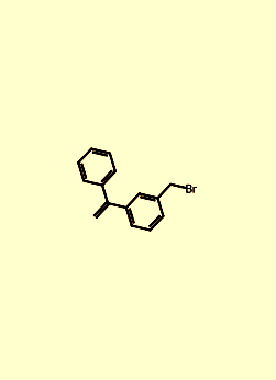 C=C(c1ccccc1)c1cccc(CBr)c1